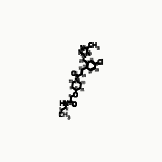 CCCNC(=O)COC1CCN(C(=O)C=Cc2ccc(Cl)cc2Cn2nnc(C)n2)CC1